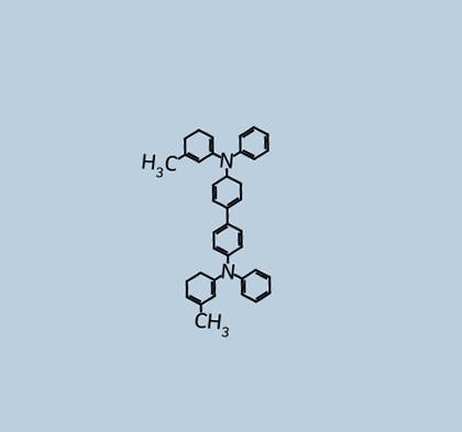 CC1=CCCC(N(c2ccccc2)c2ccc(C3=CCC(N(C4=CCCC(C)=C4)c4ccccc4)C=C3)cc2)=C1